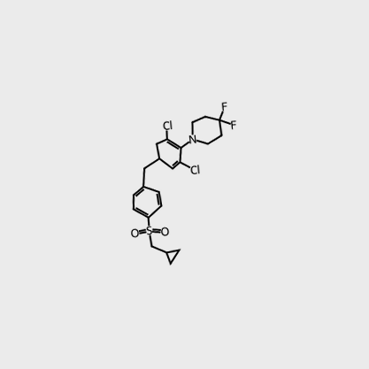 O=S(=O)(CC1CC1)c1ccc(CC2C=C(Cl)C(N3CCC(F)(F)CC3)=C(Cl)C2)cc1